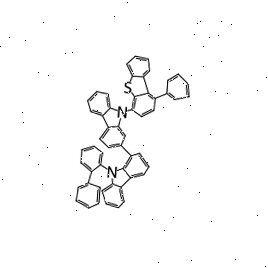 c1ccc(-c2ccccc2-n2c3ccccc3c3cccc(-c4ccc5c6ccccc6n(-c6ccc(-c7ccccc7)c7c6sc6ccccc67)c5c4)c32)cc1